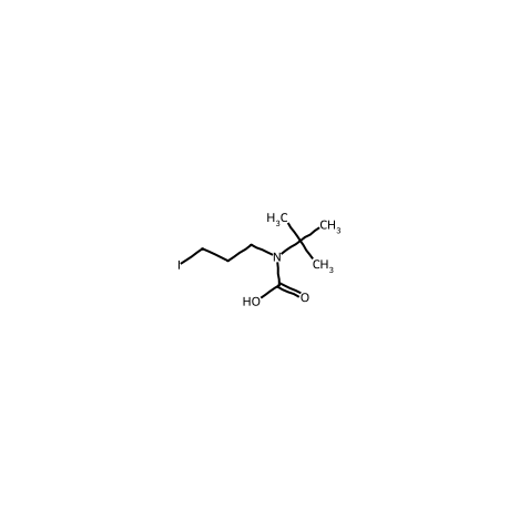 CC(C)(C)N(CCCI)C(=O)O